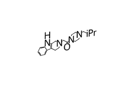 CC(C)CN1CCN(C(=O)CN2CCc3c([nH]c4ccccc34)C2)CC1